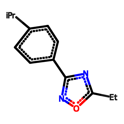 CCc1nc(-c2ccc(C(C)C)cc2)no1